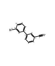 N#Cc1cccc(-c2cccc(Br)c2)c1